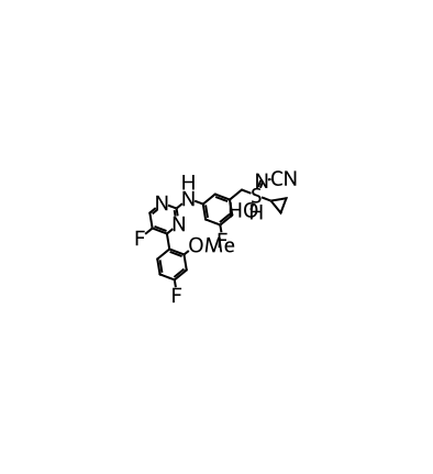 COc1cc(F)ccc1-c1nc(Nc2cc(F)cc(C[SH](O)(=NC#N)C3CC3)c2)ncc1F